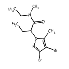 CCC(C(=O)N(C)CC)n1nc(Br)c(Br)c1C